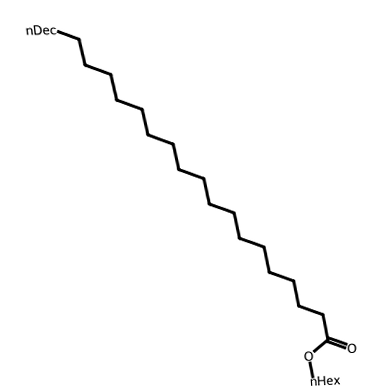 CCCCCCCCCCCCCCCCCCCCCCCCCCCC(=O)OCCCCCC